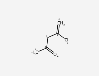 C=C(Cl)CC(C)=O